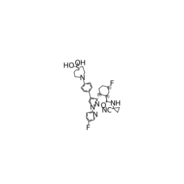 N#CC1(NC(=O)[C@@H]2C[C@@H](F)CC[C@H]2c2nn(-c3ccc(F)cn3)cc2-c2ccc(N3CCS(O)(O)CC3)cc2)CC1